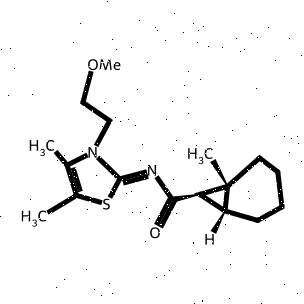 COCCn1c(C)c(C)sc1=NC(=O)[C@@H]1[C@H]2CCCC[C@]21C